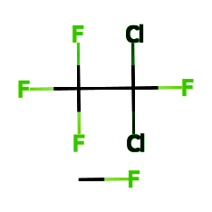 CF.FC(F)(F)C(F)(Cl)Cl